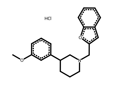 COc1cccc(C2CCCN(Cc3cc4ccccc4o3)C2)c1.Cl